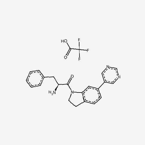 N[C@@H](Cc1ccccc1)C(=O)N1CCc2ccc(-c3cncnc3)cc21.O=C(O)C(F)(F)F